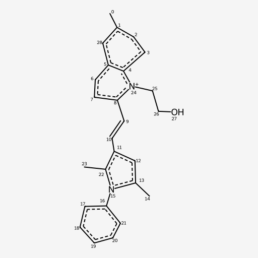 Cc1ccc2c(ccc(/C=C/c3cc(C)n(-c4ccccc4)c3C)[n+]2CCO)c1